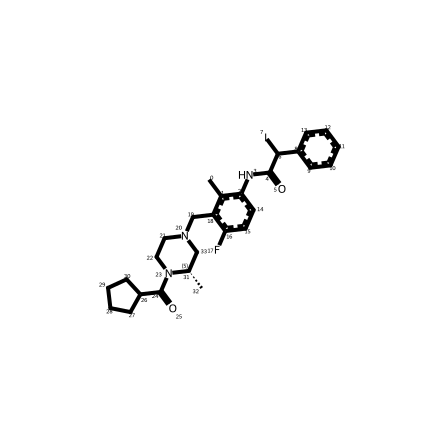 Cc1c(NC(=O)C(I)c2ccccc2)ccc(F)c1CN1CCN(C(=O)C2CCCC2)[C@@H](C)C1